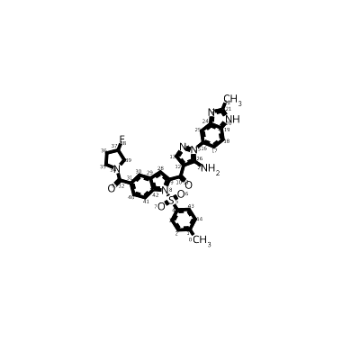 Cc1ccc(S(=O)(=O)n2c(C(=O)c3cnn(-c4ccc5[nH]c(C)nc5c4)c3N)cc3cc(C(=O)N4CCC(F)C4)ccc32)cc1